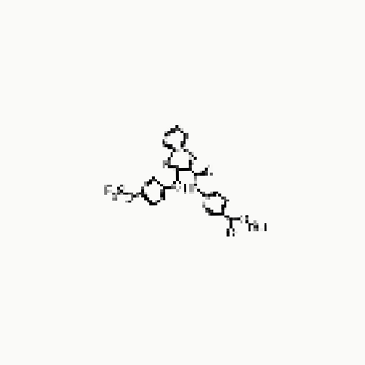 CC(C)(C)OC(=O)c1ccc(NC(=O)c2nc3ccccc3nc2Oc2ccc(OC(F)(F)F)cc2)cc1